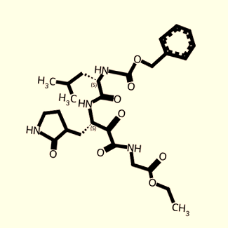 CCOC(=O)CNC(=O)C(=O)[C@H](CC1CCNC1=O)NC(=O)[C@H](CC(C)C)NC(=O)OCc1ccccc1